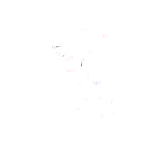 COc1cc(NC(=O)/C(C)=C(\O)[C@@H]2Oc3c(O)ccc4c3[C@@]23CCN(CC2CC2)[C@H](C4)[C@@]3(C)O)cc(C(F)(F)F)c1